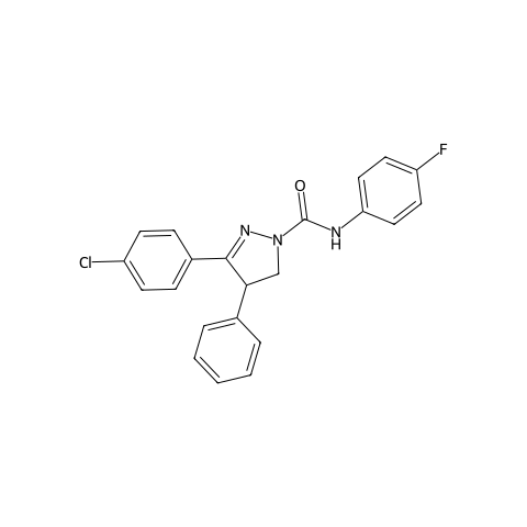 O=C(Nc1ccc(F)cc1)N1CC(c2ccccc2)C(c2ccc(Cl)cc2)=N1